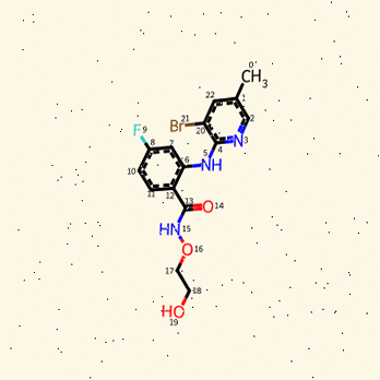 Cc1cnc(Nc2cc(F)ccc2C(=O)NOCCO)c(Br)c1